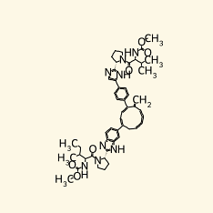 C=C1C=C=C=CC/C(c2ccc3nc([C@@H]4CCCN4C(=O)[C@@H](NC(=O)OC)C(C)CC)[nH]c3c2)=C\C=C/1c1ccc(-c2cnc([C@@H]3CCCN3C(=O)[C@@H](NC(=O)OC)C(C)C)[nH]2)cc1